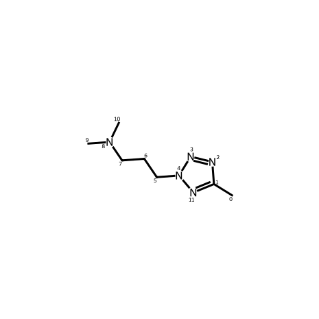 Cc1nnn(CCCN(C)C)n1